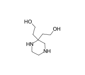 OCCC1(CCO)CNCCN1